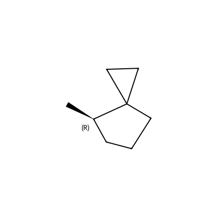 C[C@@H]1CCCC12CC2